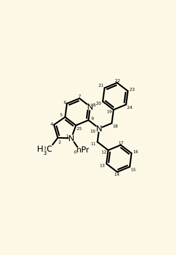 CCCn1c(C)cc2ccnc(N(Cc3ccccc3)Cc3ccccc3)c21